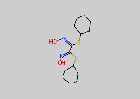 ON=C(SC1CCCCC1)C(=NO)SC1CCCCC1